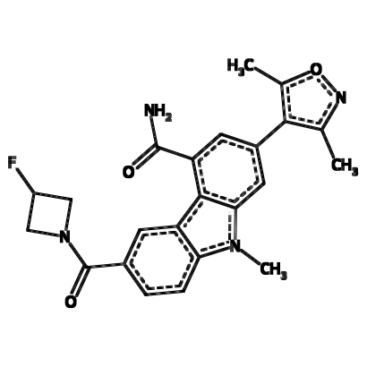 Cc1noc(C)c1-c1cc(C(N)=O)c2c3cc(C(=O)N4CC(F)C4)ccc3n(C)c2c1